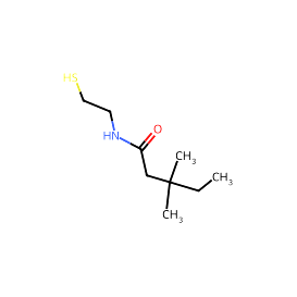 CCC(C)(C)CC(=O)NCCS